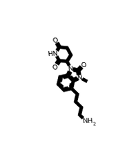 Cn1c(=O)n(C2CCC(=O)NC2=O)c2cccc(CCCCN)c21